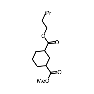 COC(=O)C1CCCC(C(=O)OCCC(C)C)C1